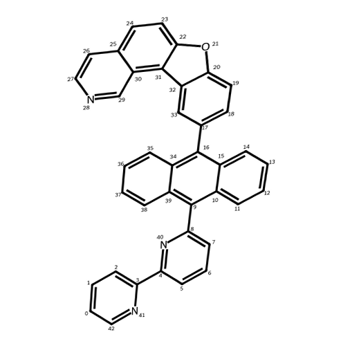 c1ccc(-c2cccc(-c3c4ccccc4c(-c4ccc5oc6ccc7ccncc7c6c5c4)c4ccccc34)n2)nc1